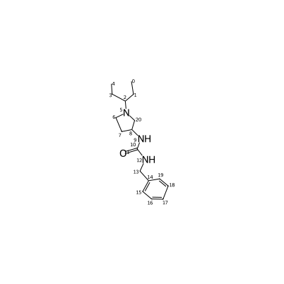 CCC(CC)N1CCC(NC(=O)NCc2ccccc2)C1